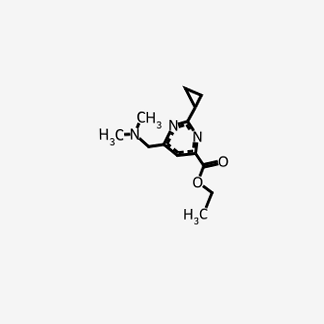 CCOC(=O)c1cc(CN(C)C)nc(C2CC2)n1